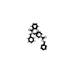 O=C(OCc1ccccc1)N1CCC2(CC1)CN(CC1CCCCC1)C(=O)c1ccccc1O2